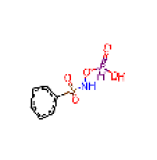 O=[PH](O)ONS(=O)(=O)c1ccccc1